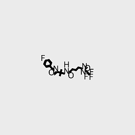 CC(C)(CNC(=O)CCCc1noc(C(F)(F)F)n1)c1coc(-c2ccc(F)cc2)n1